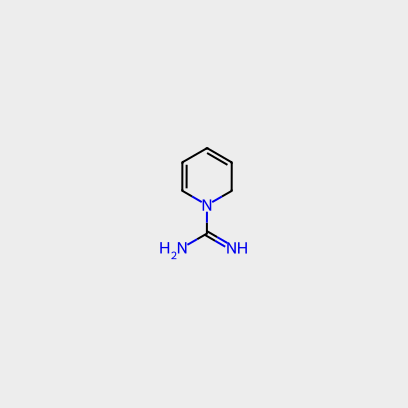 N=C(N)N1C=CC=CC1